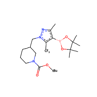 Cc1nn(CC2CCCN(C(=O)OC(C)(C)C)C2)c(C(F)(F)F)c1B1OC(C)(C)C(C)(C)O1